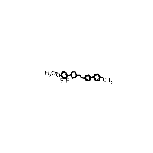 C=Cc1ccc(-c2ccc(CCC3CCC(c4ccc(OCC)c(F)c4F)CC3)cc2)cc1